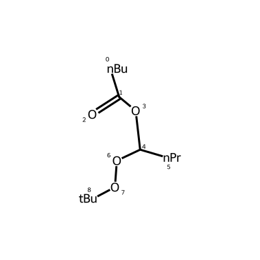 CCCCC(=O)OC(CCC)OOC(C)(C)C